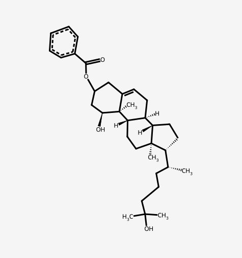 C[C@H](CCCC(C)(C)O)[C@H]1CC[C@H]2[C@@H]3CC=C4CC(OC(=O)c5ccccc5)C[C@H](O)[C@]4(C)[C@H]3CC[C@]12C